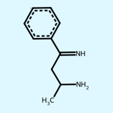 CC(N)CC(=N)c1cc[c]cc1